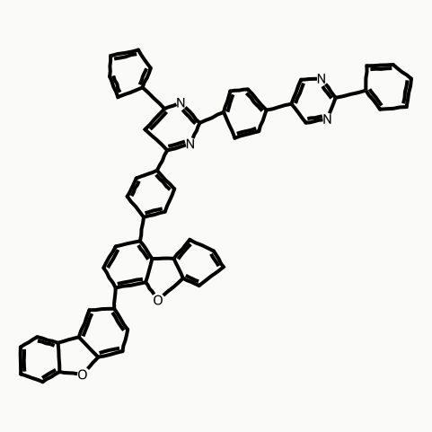 c1ccc(-c2cc(-c3ccc(-c4ccc(-c5ccc6oc7ccccc7c6c5)c5oc6ccccc6c45)cc3)nc(-c3ccc(-c4cnc(-c5ccccc5)nc4)cc3)n2)cc1